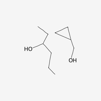 CCCC(O)CC.OCC1CC1